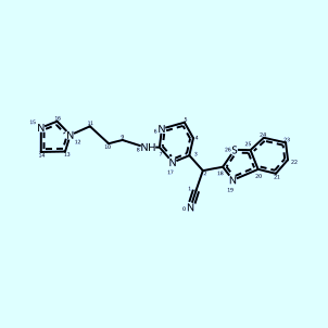 N#CC(c1ccnc(NCCCn2ccnc2)n1)c1nc2ccccc2s1